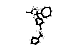 CC1NC(c2ccc(CNC(=O)c3ccccc3)cc2)(C2CCCCCCC2)NO1